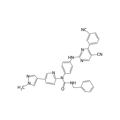 Cn1cc(-c2ccc(N(C(=O)NCc3ccccc3)c3ccc(Nc4ncc(C#N)c(-c5cccc(C#N)c5)n4)cc3)nc2)cn1